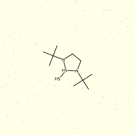 CC(C)(C)N1CCN(C(C)(C)C)[SH]1S